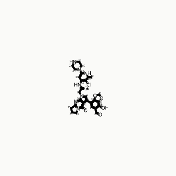 O=Cc1cc(-c2cn(CC(=O)NC3=C(Cl)C(F)NC(N4CCNCC4)=C3)c3nc4n(c(=O)c23)CCC4)c2c(c1O)OCO2